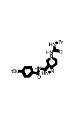 CC(C)NC(=O)NN1CCc2n[nH]c(NC(=O)c3ccc(C(C)(C)C)cc3)c2C1